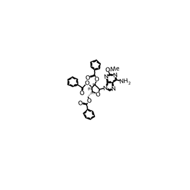 COc1nc(N)c2ncn(C3O[C@H](COC(=O)c4ccccc4)[C@@H](OC(=O)c4ccccc4)[C@H]3OC(=O)c3ccccc3)c2n1